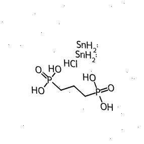 Cl.O=P(O)(O)CCCP(=O)(O)O.[SnH2].[SnH2]